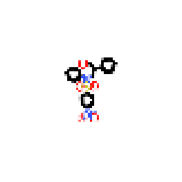 O=[N+]([O-])c1ccc(S(=O)(=O)N2CC(c3ccccc3)COc3ccccc32)cc1